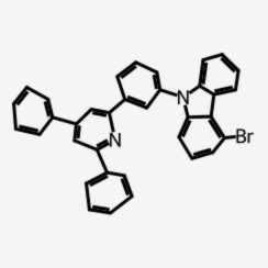 Brc1cccc2c1c1ccccc1n2-c1cccc(-c2cc(-c3ccccc3)cc(-c3ccccc3)n2)c1